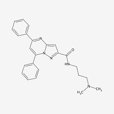 CN(C)CCCNC(=O)c1cc2nc(-c3ccccc3)cc(-c3ccccc3)n2n1